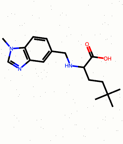 Cn1cnc2cc(CNC(CCC(C)(C)C)C(=O)O)ccc21